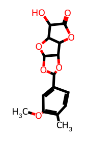 COc1cc(C2OC3OC4C(O)C(=O)OC4C3O2)ccc1C